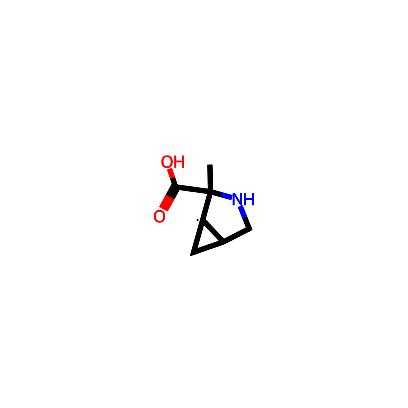 CC1(C(=O)O)NCC2C[C]21